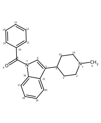 CN1CCC(c2cn(C(=O)c3ccccc3)c3ccccc23)CC1